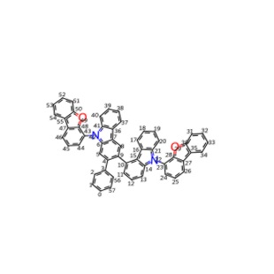 c1ccc(-c2cc3c(cc2-c2cccc4c2c2ccccc2n4-c2cccc4c2oc2ccccc24)c2ccccc2n3-c2cccc3c2oc2ccccc23)cc1